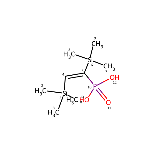 C[Si](C)(C)C=C([Si](C)(C)C)P(=O)(O)O